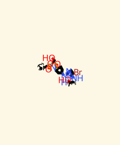 C[C@@H](O)[C@@H](C)Nc1nc(Nc2ccc(S(=O)(CCO)=NS(=O)(=O)CC[Si](C)(C)C)cc2)ncc1Br